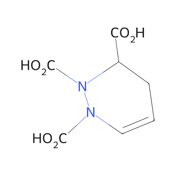 O=C(O)C1CC=CN(C(=O)O)N1C(=O)O